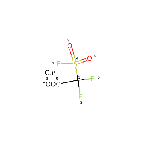 O=C([O-])C(F)(F)S(=O)(=O)F.[Cu+]